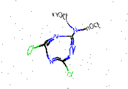 CCCCCCCCN(CCCCCCCC)c1nc(Cl)nc(Cl)n1